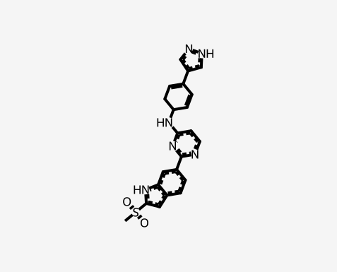 CS(=O)(=O)c1cc2ccc(-c3nccc(NC4C=CC(c5cn[nH]c5)=CC4)n3)cc2[nH]1